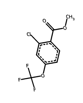 COC(=O)c1ccc(OC(F)(F)F)cc1Cl